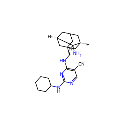 N#Cc1cnc(NC2CCCCC2)nc1NC[C@]12CC3C[C@H](C1)[C@@H](N)[C@@H](C3)C2